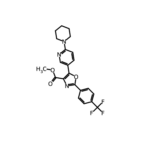 COC(=O)c1nc(-c2ccc(C(F)(F)F)cc2)oc1-c1ccc(N2CCCCC2)nc1